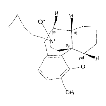 [O-][N+]1(CC2CC2)CC[C@]23c4c5ccc(O)c4O[C@H]2CCC[C@H]3[C@H]1C5